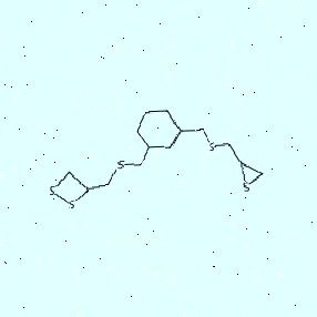 C1CC(CSCC2CS2)CC(CSCC2CSS2)C1